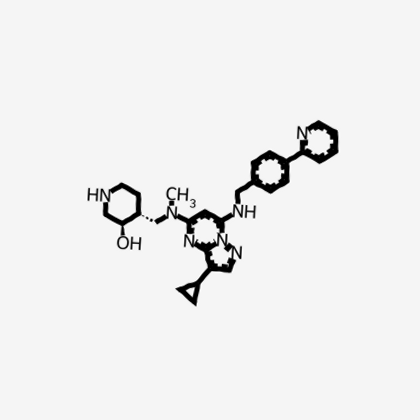 CN(C[C@H]1CCNC[C@@H]1O)c1cc(NCc2ccc(-c3ccccn3)cc2)n2ncc(C3CC3)c2n1